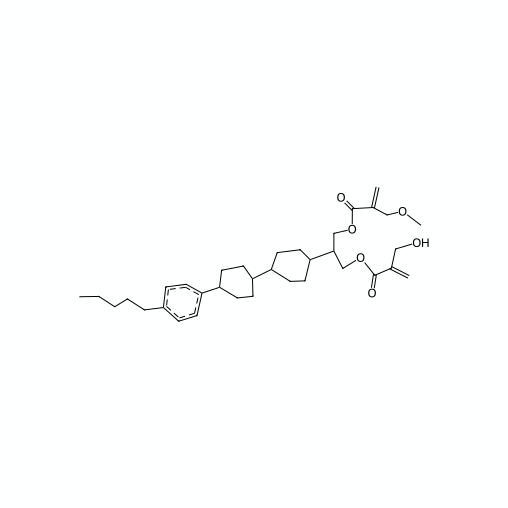 C=C(CO)C(=O)OCC(COC(=O)C(=C)COC)C1CCC(C2CCC(c3ccc(CCCCC)cc3)CC2)CC1